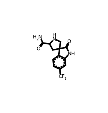 NC(=O)C1CC2(CN1)C(=O)Nc1cc(C(F)(F)F)ccc12